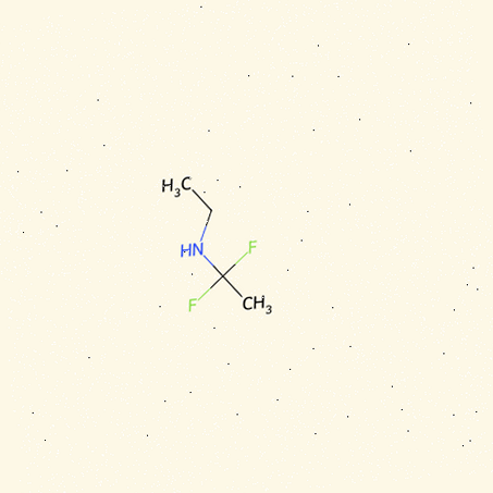 CCNC(C)(F)F